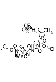 C=CCOC(=O)Nc1nc(C(=NOC)C(=O)N[C@H]2C(=O)N3C(C(=O)OCC=C)=C([n+]4ccc(C)c(C)c4)CCC23)cs1.O=S(=O)([O-])C(F)(F)F